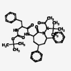 CC(=O)N(N1C(=O)C(NC(=O)C(Cc2ccccc2)NC(=O)OC(C)(C)C)CC(c2ccccc2)CC1c1ccccc1)C(C)(C)C